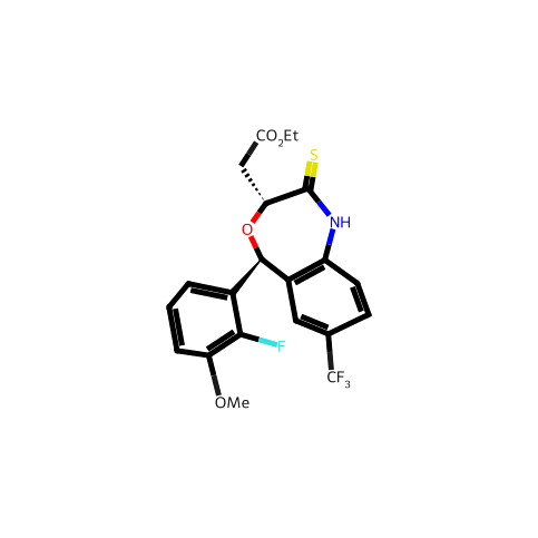 CCOC(=O)C[C@H]1O[C@H](c2cccc(OC)c2F)c2cc(C(F)(F)F)ccc2NC1=S